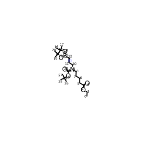 CCOC(=O)CCCCN(C/C=C/B1OC(C)(C)C(C)(C)O1)C(=O)OC(C)(C)C